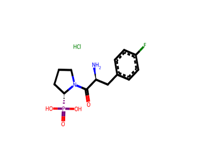 Cl.N[C@@H](Cc1ccc(F)cc1)C(=O)N1CCC[C@H]1P(=O)(O)O